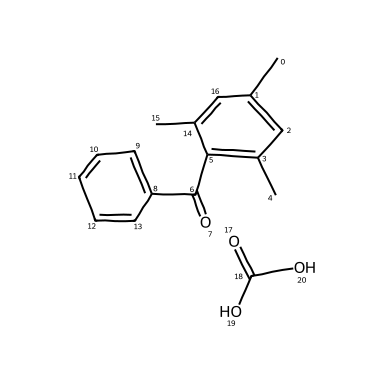 Cc1cc(C)c(C(=O)c2ccccc2)c(C)c1.O=C(O)O